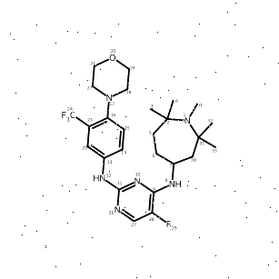 CN1C(C)(C)CCC(Nc2nc(Nc3ccc(N4CCOCC4)c(C(F)(F)F)c3)ncc2F)CC1(C)C